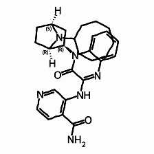 NC(=O)c1ccncc1Nc1nc2ccccc2n([C@@H]2C[C@@H]3CC[C@H]2N3C2CCCCCCC2)c1=O